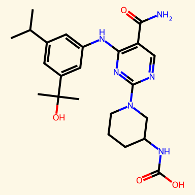 CC(C)c1cc(Nc2nc(N3CCCC(NC(=O)O)C3)ncc2C(N)=O)cc(C(C)(C)O)c1